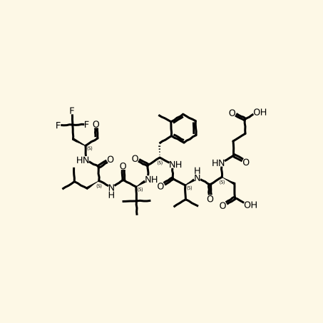 Cc1ccccc1C[C@H](NC(=O)[C@@H](NC(=O)[C@H](CC(=O)O)NC(=O)CCC(=O)O)C(C)C)C(=O)N[C@H](C(=O)N[C@@H](CC(C)C)C(=O)N[C@H](C=O)CC(F)(F)F)C(C)(C)C